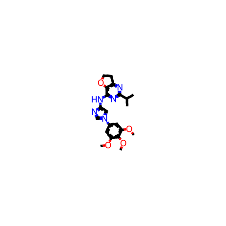 COc1cc(-n2cnc(Nc3nc(C(C)C)nc4c3OCC4)c2)cc(OC)c1OC